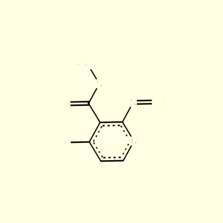 C=Nc1nccc(C)c1C(=O)NC